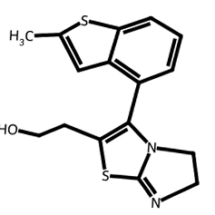 Cc1cc2c(C3=C(CCO)SC4=NCCN43)cccc2s1